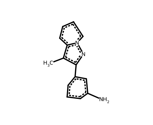 Cc1c(-c2cccc(N)c2)nn2ccccc12